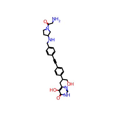 NCC(=O)N1CCC(NCc2ccc(C#Cc3ccc(C(CO)Cc4nc[nH]c(=O)c4O)cc3)cc2)C1